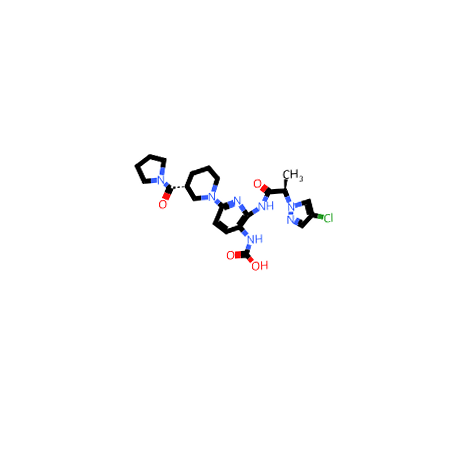 C[C@H](C(=O)Nc1nc(N2CCC[C@@H](C(=O)N3CCCC3)C2)ccc1NC(=O)O)n1cc(Cl)cn1